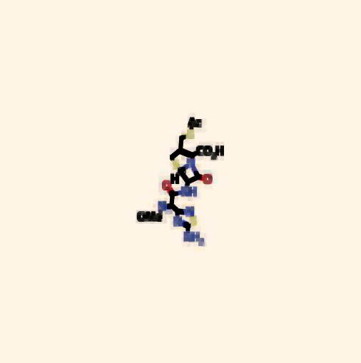 CO/N=C(/C(=O)NC1C(=O)N2C(C(=O)O)=C(CSC(C)=O)CS[C@H]12)c1nsc(N)n1